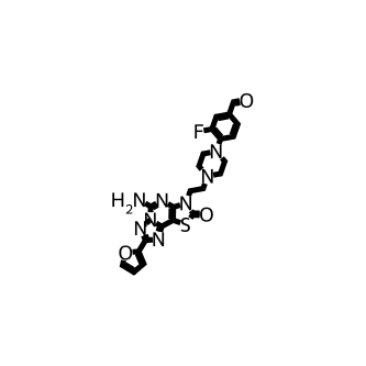 Nc1nc2c(sc(=O)n2CCN2CCN(c3ccc(C=O)cc3F)CC2)c2nc(-c3ccco3)nn12